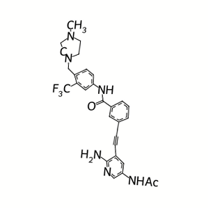 CC(=O)Nc1cnc(N)c(C#Cc2cccc(C(=O)Nc3ccc(CN4CCN(C)CC4)c(C(F)(F)F)c3)c2)c1